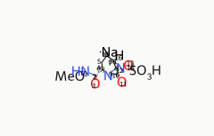 CONC(=O)[C@@H]1CC[C@@H]2CN1C(=O)N2OS(=O)(=O)O.[Na]